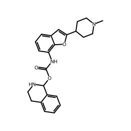 CN1CCC(c2cc3cccc(NC(=O)OC4NCCc5ccccc54)c3o2)CC1